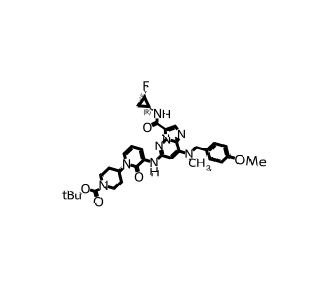 COc1ccc(CN(C)c2cc(Nc3cccn(C4CCN(C(=O)OC(C)(C)C)CC4)c3=O)nn3c(C(=O)N[C@@H]4C[C@@H]4F)cnc23)cc1